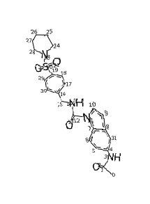 CC(=O)Nc1ccc2c(ccn2C(=O)NCc2ccc(S(=O)(=O)N3CCCCC3)cc2)c1